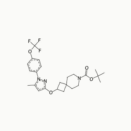 Cc1cc(OC2CC3(CCN(C(=O)OC(C)(C)C)CC3)C2)nn1-c1ccc(OC(F)(F)F)cc1